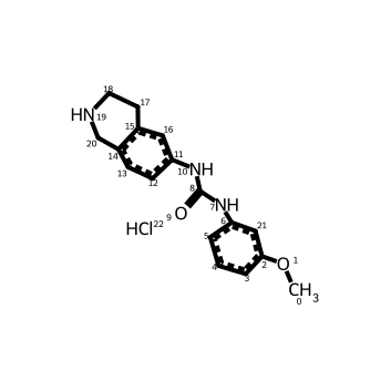 COc1cccc(NC(=O)Nc2ccc3c(c2)CCNC3)c1.Cl